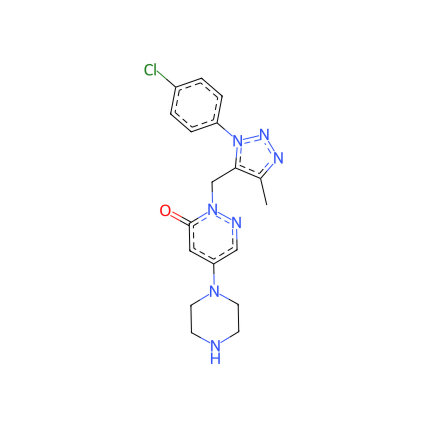 Cc1nnn(-c2ccc(Cl)cc2)c1Cn1ncc(N2CCNCC2)cc1=O